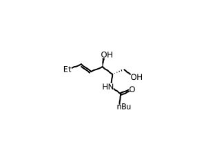 CC/C=C/[C@@H](O)[C@H](CO)NC(=O)CCCC